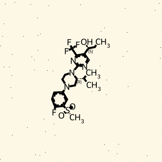 CC[C@H](O)c1cnc(N2CCN(c3ccc(F)c(S(C)(=O)=O)c3)C[C@H]2C(C)C)nc1C(F)(F)F